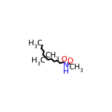 CCCCCC(C)(C)CCCCCC(=O)NC(C)=O